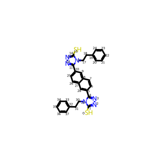 Sc1nnc(-c2ccc3cc(-c4nnc(S)n4CCc4ccccc4)ccc3c2)n1CCc1ccccc1